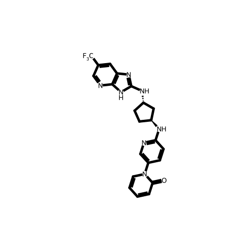 O=c1ccccn1-c1ccc(N[C@H]2CC[C@H](Nc3nc4cc(C(F)(F)F)cnc4[nH]3)C2)nc1